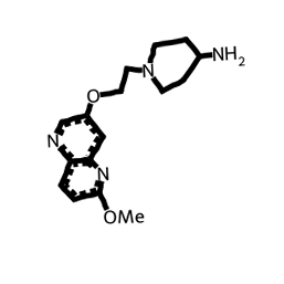 COc1ccc2ncc(OCCN3CCC(N)CC3)cc2n1